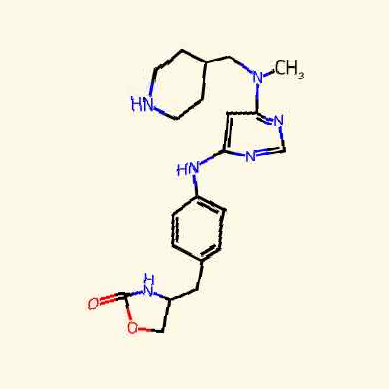 CN(CC1CCNCC1)c1cc(Nc2ccc(CC3COC(=O)N3)cc2)ncn1